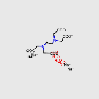 O.O.O.O.O=C([O-])CN(CCN(CC(=O)[O-])CC(=O)[O-])CC(=O)[O-].[Na+].[Na+].[Na+].[Na+]